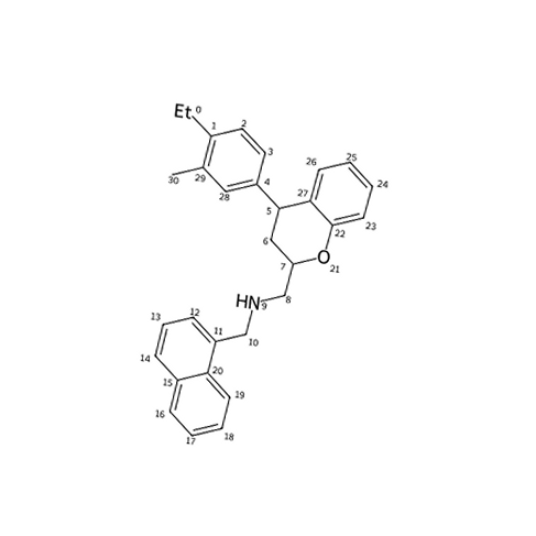 CCc1ccc(C2CC(CNCc3cccc4ccccc34)Oc3ccccc32)cc1C